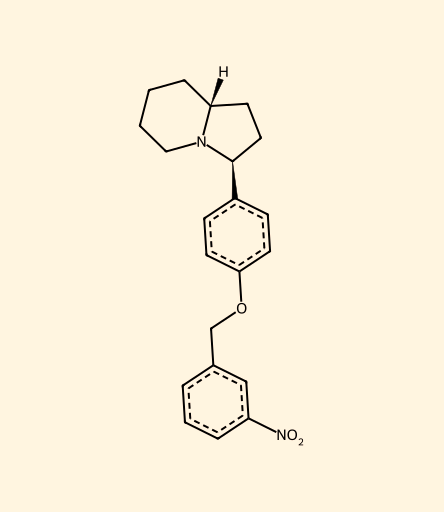 O=[N+]([O-])c1cccc(COc2ccc([C@@H]3CC[C@H]4CCCCN43)cc2)c1